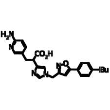 CCC(C)c1ccc(-c2cc(Cn3cnc(C(Cc4ccc(N)nc4)C(=O)O)c3)no2)cc1